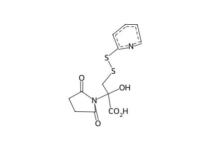 O=C1CCC(=O)N1C(O)(CSSc1ccccn1)C(=O)O